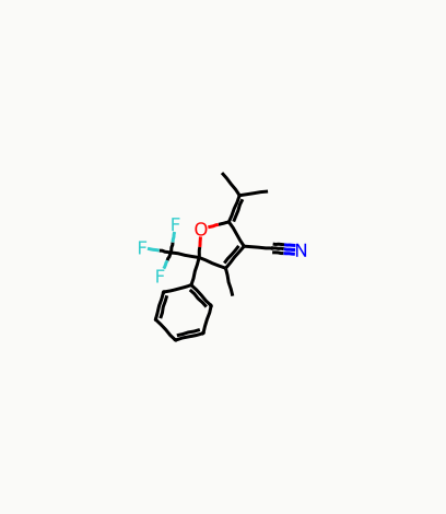 CC(C)=C1OC(c2ccccc2)(C(F)(F)F)C(C)=C1C#N